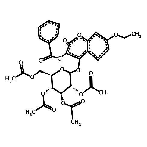 CCOc1ccc2c(O[C@@H]3O[C@H](COC(C)=O)[C@@H](OC(C)=O)[C@H](OC(C)=O)[C@H]3OC(C)=O)c(OC(=O)c3ccccc3)c(=O)oc2c1